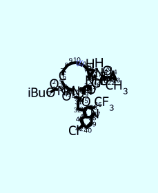 CC(C)COC(=O)N[C@H]1CCCCC/C=C\[C@@H]2C[C@@]2(C(=O)NS(=O)(=O)C2(C)CC2)NC(=O)[C@@H]2C[C@]3(CCc4c(c(C(F)(F)F)nc5ccc(Cl)cc45)O3)CN2C1=O